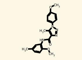 COc1ccc(-n2nnc(C(=O)Nc3cc(C)ccc3OC)c2C)cc1